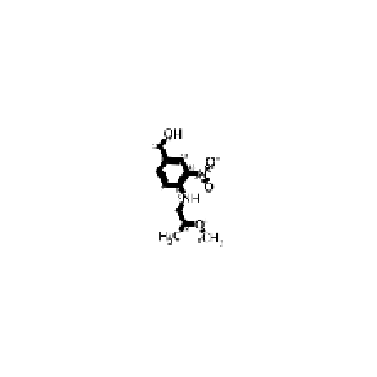 COC(C)CNc1ccc(CO)cc1[N+](=O)[O-]